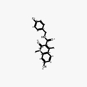 Cc1c(C(=O)NCc2ccc(F)cc2)c(=O)n(C)c2cc(C#N)ccc12